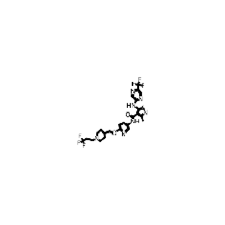 Cc1nsc(Nc2cnc(C(F)(F)F)cn2)c1C(=O)Nc1ccc(OCC2CCN(CCC(F)(F)F)CC2)nc1